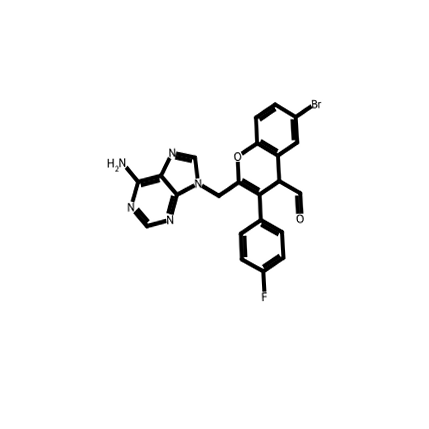 Nc1ncnc2c1ncn2CC1=C(c2ccc(F)cc2)C(C=O)c2cc(Br)ccc2O1